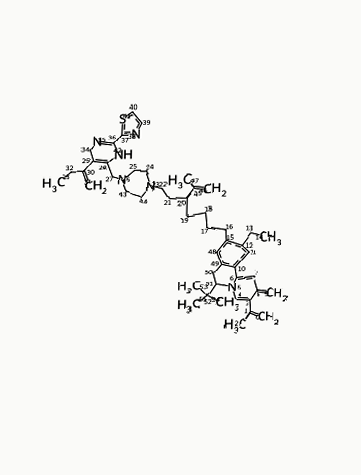 C=C(C)C1=CN2C(=CC1=C)c1cc(CC)c(CCCCC(CCN3CCN(CC4=C(C(=C)CC)CN=C(c5nccs5)N4)CC3)C(=C)C)cc1CC2C(C)(C)C